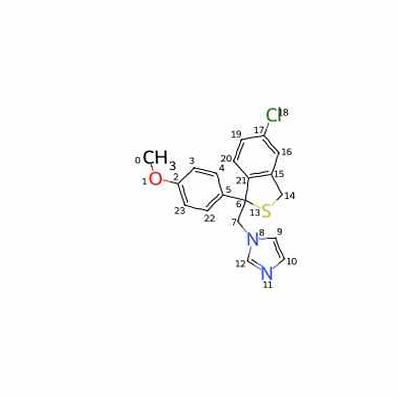 COc1ccc(C2(Cn3ccnc3)SCc3cc(Cl)ccc32)cc1